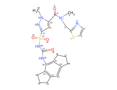 CN(Cc1nccs1)C(=O)c1cc(S(=O)(=O)NC(=O)Nc2c3c(cc4c2CCC4)CCC3)nn1C